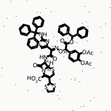 CC(=O)Oc1ccc([C@@H](O/N=C(\C(=O)N[C@@H]2C(=O)N3C(C(=O)O)=C(C4SCCS4)CS[C@@H]23)c2csc(NC(c3ccccc3)(c3ccccc3)c3ccccc3)n2)C(=O)OC(c2ccccc2)c2ccccc2)cc1OC(C)=O